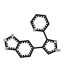 c1ccc(-c2n[nH]cc2-c2ccc3nonc3c2)nc1